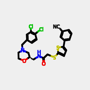 N#Cc1cccc(-c2ccc(SCC(=O)NC[C@H]3CN(Cc4ccc(Cl)c(Cl)c4)CCO3)s2)c1